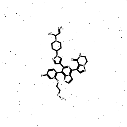 C=CC(O)N1CCC(n2cc(-c3nc(-c4cnn5c4C(=O)NCC5)c4ccsc4c3-c3ccc(F)cc3OCCOC)cn2)CC1